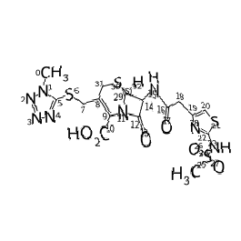 Cn1nnnc1SCC1=C(C(=O)O)N2C(=O)C(NC(=O)Cc3csc(NS(C)(=O)=O)n3)[C@@H]2SC1